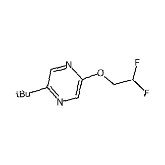 CC(C)(C)c1cnc(OCC(F)F)cn1